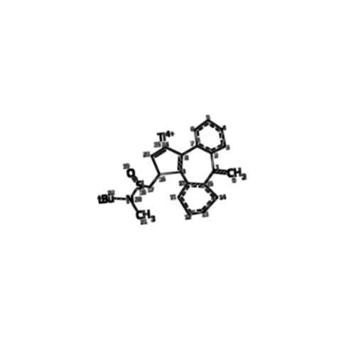 C=C1c2ccccc2C2=C(c3ccccc31)C(C[Si](=O)N(C)C(C)(C)C)C=C2.[Ti+4]